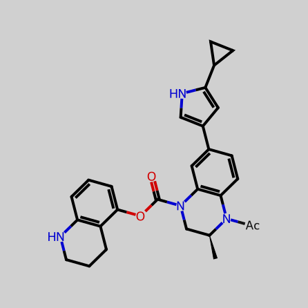 CC(=O)N1c2ccc(-c3c[nH]c(C4CC4)c3)cc2N(C(=O)Oc2cccc3c2CCCN3)C[C@@H]1C